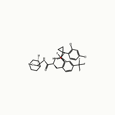 O=C(N[C@@H]1CN2CCC1CC2)[C@H](Cc1ccc(C(F)(F)F)cc1C(F)(F)F)NC(=O)C1(c2ccc(Cl)cc2Cl)CC1